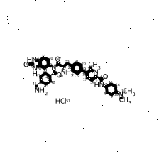 Cc1nc(C(=O)NC2CCC(N(C)C)CC2)ccc1-c1ccc(C[C@H](N)C(=O)N(c2ccc3[nH]c(=O)[nH]c3c2)C(=O)[C@H]2CC[C@H](CN)CC2)cc1.Cl